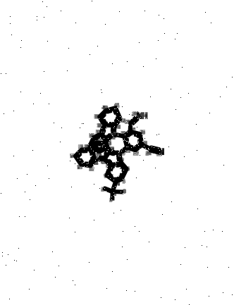 CC(C)(C)c1ccc2c(c1)c1c3ccccc3ccc1n2-c1cc(C#N)cc(C=N)c1-n1c2ccccc2c2ccccc21